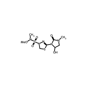 CON(C)S(=O)(=O)N1CSC(N2C(=O)N(C)CC2O)=N1